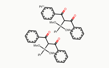 CO[Si](OC)(C(C)C)C(C(=O)c1ccccc1)C(=O)c1ccccc1.CO[Si](OC)(C(C)C)C(C(=O)c1ccccc1)C(=O)c1ccccc1.[Pt+2]